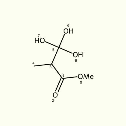 COC(=O)C(C)C(O)(O)O